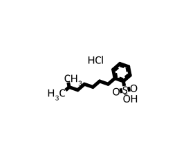 CC(C)CCCCCc1ccccc1S(=O)(=O)O.Cl